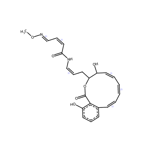 CO/N=C/C=C\C(=O)N/C=C\CC1OC(=O)c2c(O)cccc2\C=C/C=C\C=C/C1O